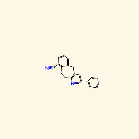 N#Cc1cccc2c1CCc1ncc(-c3ccccc3)cc1C2